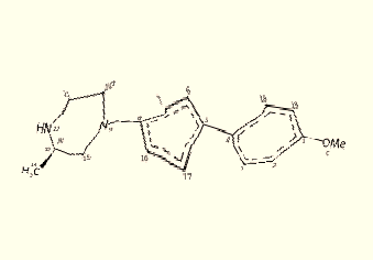 COc1ccc(-c2ccc(N3CCN[C@H](C)C3)cc2)cc1